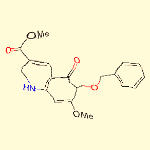 COC(=O)C1=CC2=C(C=C(OC)C(OCc3ccccc3)C2=O)NC1